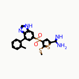 CSc1sc(C(=N)N)cc1S(=O)(=O)c1cc(-c2ccccc2C)c2nc[nH]c2c1